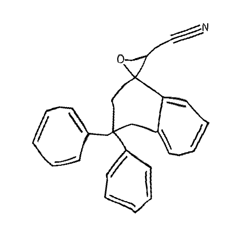 N#CC1OC12CC(c1ccccc1)(c1ccccc1)c1ccccc12